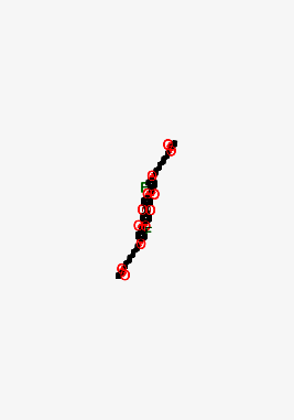 C=CC(=O)OCCCCCCCCOc1ccc(C(=O)Oc2ccc(S(=O)(=O)c3ccc(OC(=O)c4ccc(OCCCCCCCCOC(=O)C=C)cc4F)cc3)cc2)c(F)c1